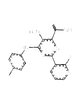 Cc1ccc(Nc2nc(-c3cccnc3F)nc(C(N)=O)c2N)cc1